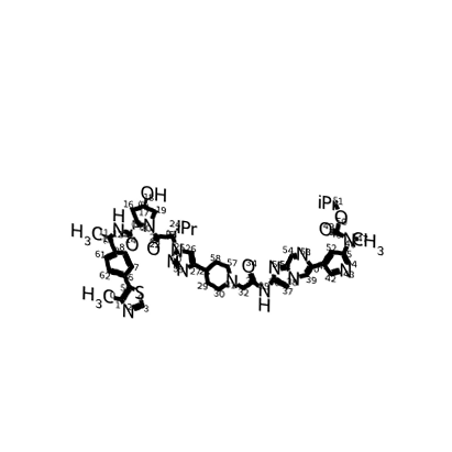 Cc1ncsc1-c1ccc([C@H](C)NC(=O)[C@@H]2C[C@@H](O)CN2C(=O)[C@H](C(C)C)n2cc(C3CCN(CC(=O)Nc4cn5cc(-c6cncc(N(C)C(=O)OC(C)C)c6)ncc5n4)CC3)nn2)cc1